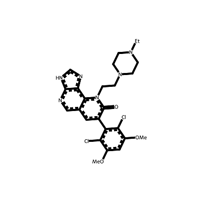 CCN1CCN(CCn2c(=O)c(-c3c(Cl)c(OC)cc(OC)c3Cl)cc3cnc4[nH]cnc4c32)CC1